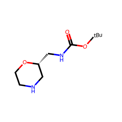 CC(C)(C)OC(=O)NC[C@@H]1CNCCO1